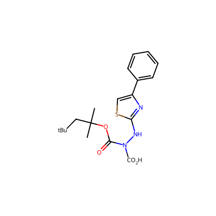 CC(C)(C)CC(C)(C)OC(=O)N(Nc1nc(-c2ccccc2)cs1)C(=O)O